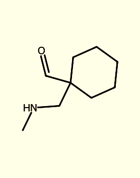 CNCC1(C=O)CCCCC1